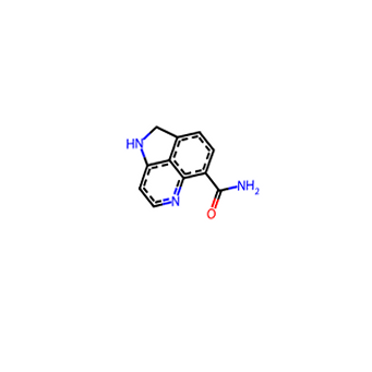 NC(=O)c1ccc2c3c(ccnc13)NC2